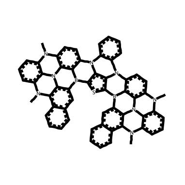 CN1c2cccc3c2N2c4c1ccc1c4B(c4cc5ccccc5c(c42)N3C)c2sc3c4c2N1c1ccccc1N4c1ccc2c4c1B3c1cc3ccccc3c3c1N4c1c(cccc1N3C)N2C